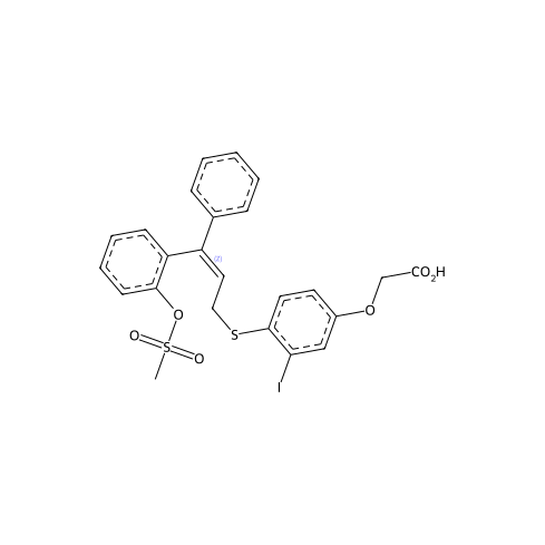 CS(=O)(=O)Oc1ccccc1/C(=C\CSc1ccc(OCC(=O)O)cc1I)c1ccccc1